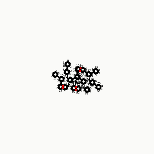 c1ccc(-c2ccc(N(c3cc(-c4ccccc4)cc(-c4ccccc4)c3)c3cc4c5c(c3)N(c3ccccc3)c3ccccc3B5N3B5c6ccccc6N(c6ccccc6)c6cc(N(c7ccc(-c8ccccc8)cc7)c7cc(-c8ccccc8)cc(-c8ccccc8)c7)cc(c65)-c5cc(-c6ccccc6)cc-4c53)cc2)cc1